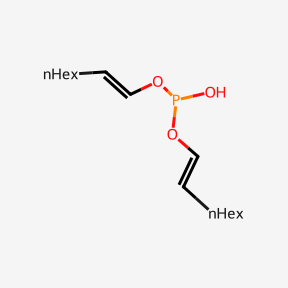 CCCCCCC=COP(O)OC=CCCCCCC